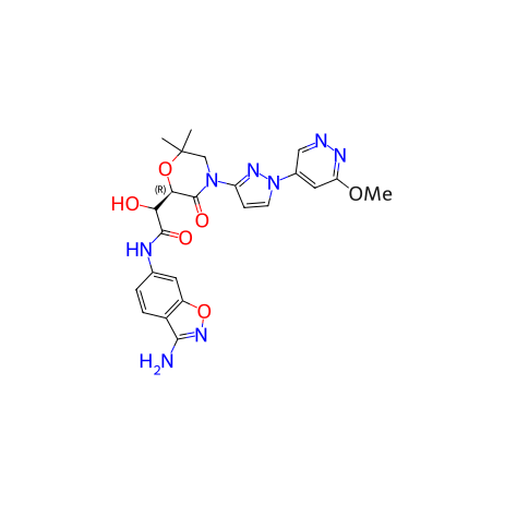 COc1cc(-n2ccc(N3CC(C)(C)O[C@H](C(O)C(=O)Nc4ccc5c(N)noc5c4)C3=O)n2)cnn1